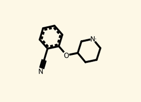 N#Cc1ccccc1OC1CCC[N]C1